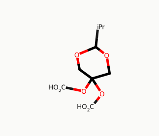 CC(C)C1OCC(OC(=O)O)(OC(=O)O)CO1